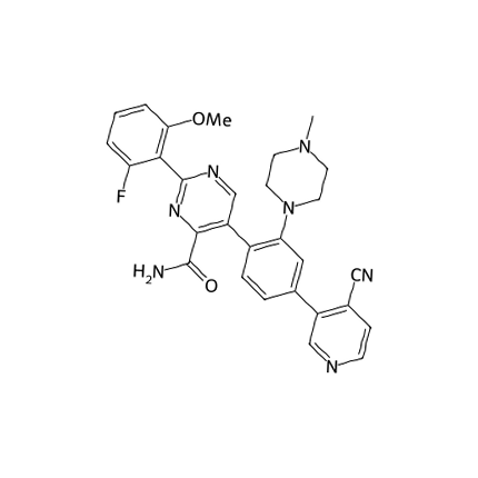 COc1cccc(F)c1-c1ncc(-c2ccc(-c3cnccc3C#N)cc2N2CCN(C)CC2)c(C(N)=O)n1